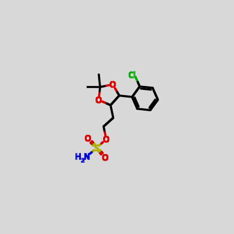 CC1(C)OC(CCOS(N)(=O)=O)C(c2ccccc2Cl)O1